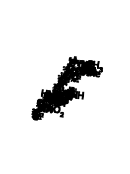 COc1cc([C@@H]2CC[C@H]2N2CCN(C3CC4(CCN(c5ccc(C(=O)NS(=O)(=O)c6cc7c(c([N+](=O)[O-])c6)N[C@H](C6CCOCC6)CO7)c(N6c7cc8cc[nH]c8nc7O[C@H]7COCC[C@@H]76)c5)CC4)C3)[C@H](c3ccccc3OC(C)C)C2)cnc1N1CCOC[C@@H]1C